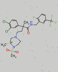 C[C@@H]1CN(CCC(C)(C(=O)NCc2cc(C(F)(F)F)ccc2F)c2ccc(Cl)c(Cl)c2)CCN1S(C)(=O)=O